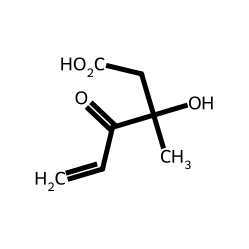 C=CC(=O)C(C)(O)CC(=O)O